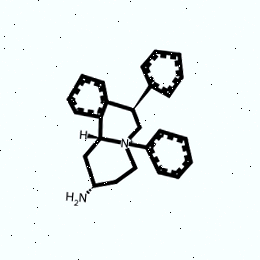 N[C@H]1CC[N+]2(c3ccccc3)C[C@H](c3ccccc3)c3ccccc3[C@H]2C1